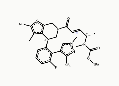 Cc1c(C#N)sc2c1[C@H](c1cccc(F)c1-c1cn(C)nc1C(F)(F)F)CN(C(=O)/C=C/[C@H](C)N(C)C(=O)OC(C)(C)C)C2